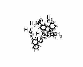 CCCCc1cc2ccccc2c(OCC[N+](C)(C)[C@@H](C(=O)OC)c2ccc(C(N)=O)cc2-c2ccccc2C)n1